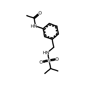 CC(=O)Nc1cccc(CNS(=O)(=O)C(C)C)c1